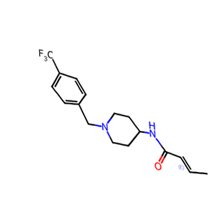 C/C=C/C(=O)NC1CCN(Cc2ccc(C(F)(F)F)cc2)CC1